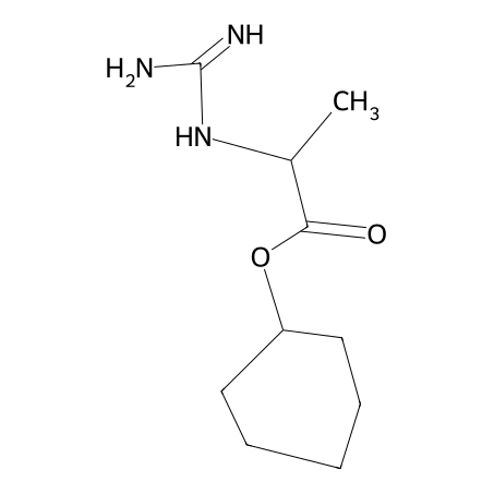 CC(NC(=N)N)C(=O)OC1CCCCC1